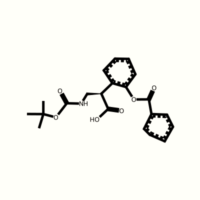 CC(C)(C)OC(=O)NC[C@H](C(=O)O)c1ccccc1OC(=O)c1ccccc1